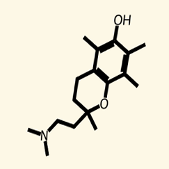 Cc1c(C)c2c(c(C)c1O)CCC(C)(CCN(C)C)O2